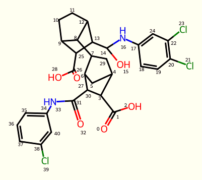 O=C(O)C1C2CC(C(C3C4CCC3C(C(O)Nc3ccc(Cl)c(Cl)c3)C4C(=O)O)C2)C1C(=O)Nc1cccc(Cl)c1